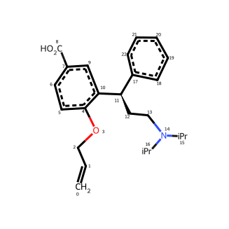 C=CCOc1ccc(C(=O)O)cc1[C@H](CCN(C(C)C)C(C)C)c1ccccc1